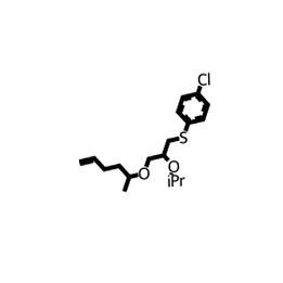 C=CCCC(C)OCC(CSc1ccc(Cl)cc1)OC(C)C